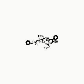 CC(C)C[C@H](NC(=O)[C@H]1Cc2c([nH]c3ccccc23)CN1C(=O)OC(C)(C)C)C(=O)NCCC(=O)OCc1ccccc1